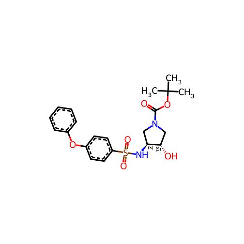 CC(C)(C)OC(=O)N1C[C@H](NS(=O)(=O)c2ccc(Oc3ccccc3)cc2)[C@@H](O)C1